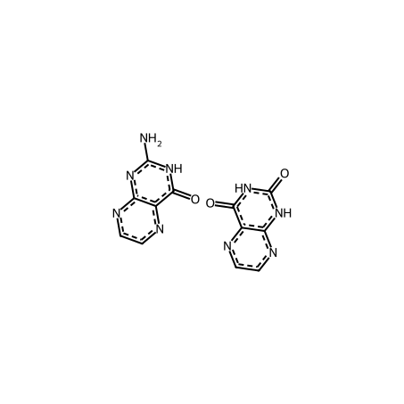 Nc1nc2nccnc2c(=O)[nH]1.O=c1[nH]c(=O)c2nccnc2[nH]1